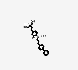 Cl.NC(CO)(CO)CCc1ccc(OCCCc2ccc(-c3ccccc3)cc2)c(C(F)(F)F)c1